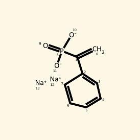 C=C(c1ccccc1)P(=O)([O-])[O-].[Na+].[Na+]